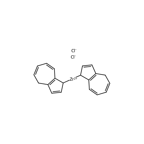 C1=CCC2=C(C=C1)[CH]([Zr+2][CH]1C=CC3=C1C=CC=CC3)C=C2.[Cl-].[Cl-]